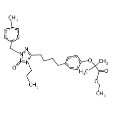 CCCn1c(CCCCc2ccc(OC(C)(C)C(=O)OCC)cc2)nn(Cc2ccc(C)cc2)c1=O